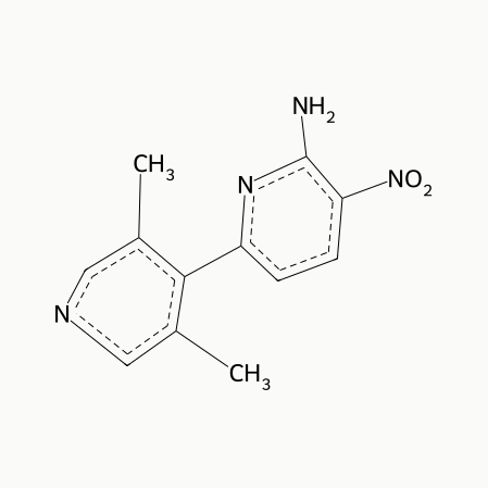 Cc1cncc(C)c1-c1ccc([N+](=O)[O-])c(N)n1